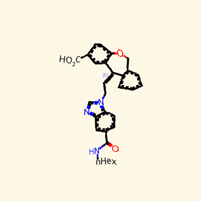 CCCCCCNC(=O)c1ccc2c(c1)ncn2C/C=C1\c2ccccc2COc2ccc(C(=O)O)cc21